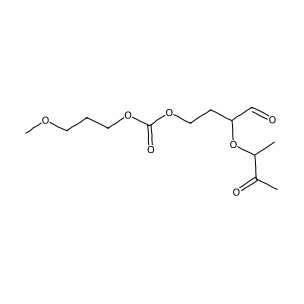 COCCCOC(=O)OCCC(C=O)OC(C)C(C)=O